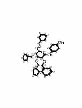 Oc1ccc(OC2O[C@H](COCc3ccccc3)[C@H](OCc3ccccc3)[C@H](OCc3ccccc3)[C@H]2OCc2ccccc2)cc1